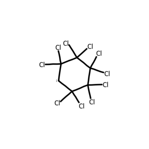 ClC1(Cl)[C]C(Cl)(Cl)C(Cl)(Cl)C(Cl)(Cl)C1(Cl)Cl